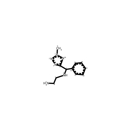 Cn1nnc(C(NCCN)c2ccccc2)n1